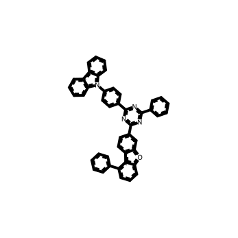 c1ccc(-c2nc(-c3ccc(-n4c5ccccc5c5ccccc54)cc3)nc(-c3ccc4c(c3)oc3cccc(-c5ccccc5)c34)n2)cc1